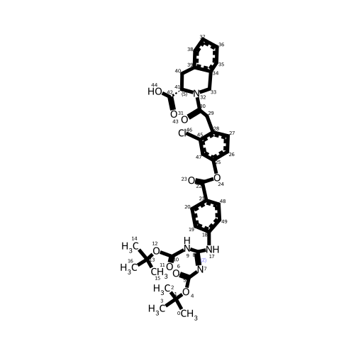 CC(C)(C)OC(=O)/N=C(\NC(=O)OC(C)(C)C)Nc1ccc(C(=O)Oc2ccc(CC(=O)N3Cc4ccccc4C[C@H]3C(=O)O)c(Cl)c2)cc1